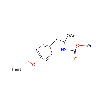 CCCCOC(=O)NC(Cc1ccc(OCC(C)CCC)cc1)OC(C)=O